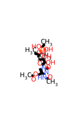 CCC(O)P(=O)(O)OC(C)(CC)C[C@H]1O[C@@H](n2cc(COC(C)=O)c(NC(C)=O)nc2=O)[C@H](O)[C@@H]1O